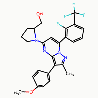 COc1ccc(-c2c(C)nn3c(-c4cccc(C(F)(F)F)c4F)cc(N4CCCC4CO)nc23)cc1